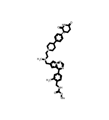 Cc1cc(-c2ncnn3cc(CN(C)CCN4CCC(c5ccc([C@@H]6CCC(=O)NC6=O)cc5)CC4)cc23)ccc1CNC(=O)OC(C)(C)C